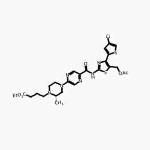 CCOC(=O)CCCN1CCN(c2cnc(C(=O)Nc3nc(-c4cc(Cl)cs4)c(COC(C)=O)s3)cn2)C[C@@H]1C